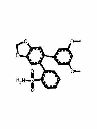 COc1cc(OC)cc(-c2cc3c(cc2-c2ccccc2S(N)(=O)=O)OCO3)c1